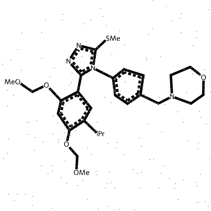 COCOc1cc(OCOC)c(C(C)C)cc1-c1nnc(SC)n1-c1ccc(CN2CCOCC2)cc1